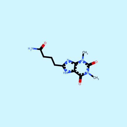 Cn1c(=O)c2[nH]c(CCCC(N)=O)nc2n(C)c1=O